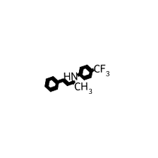 CC(C=Cc1ccccc1)Nc1ccc(C(F)(F)F)cc1